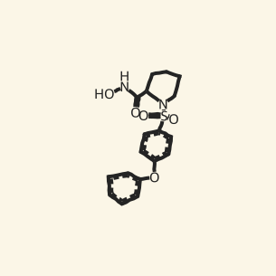 O=C(NO)C1CCCCN1S(=O)(=O)c1ccc(Oc2ccccc2)cc1